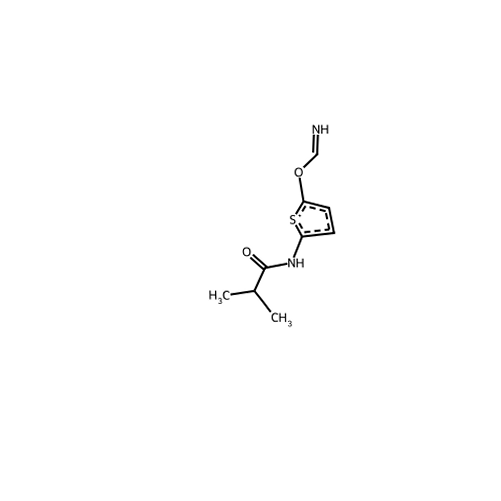 CC(C)C(=O)Nc1ccc(OC=N)s1